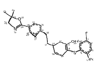 Cc1ccc(C(C)C)c(SC2=C(O)CC(CCc3ccc(C4=NCC(C)(C)O4)cc3)C=C2)c1